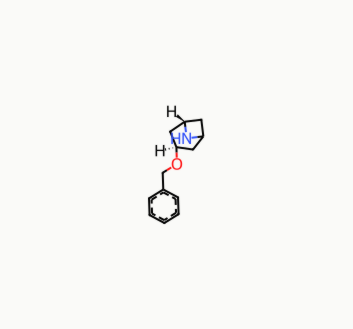 c1ccc(CO[C@@H]2CC3C[C@@H](C2)N3)cc1